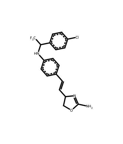 NC1=NC(C=Cc2ccc(NC(c3ccc(Cl)cc3)C(F)(F)F)cc2)CO1